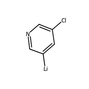 [Li][c]1cncc(Cl)c1